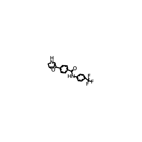 O=C(Nc1ccc(C(F)(F)F)cc1)c1ccc(C2OC3CNC2C3)cc1